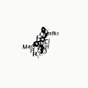 CCCCC1=NC2(CCCC2)C(=O)N1Cc1cc(F)c(-c2ccc(OC)cc2S(=O)(=O)Nc2noc(C)c2C)cc1Cl